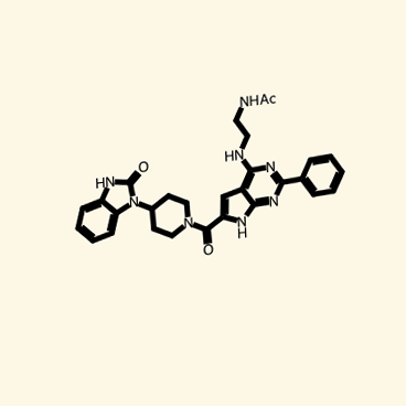 CC(=O)NCCNc1nc(-c2ccccc2)nc2[nH]c(C(=O)N3CCC(n4c(=O)[nH]c5ccccc54)CC3)cc12